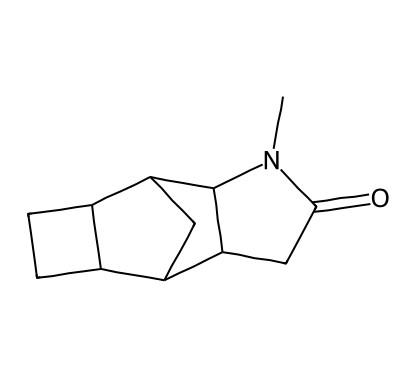 CN1C(=O)CC2C3CC(C4CCC34)C21